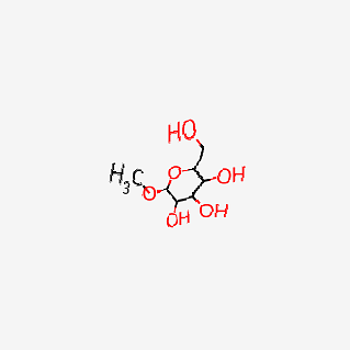 CO[C@H]1OC(CO)C(O)C(O)C1O